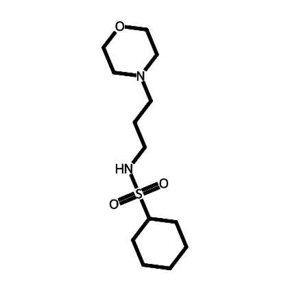 O=S(=O)(NCCCN1CCOCC1)C1CCCCC1